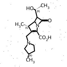 C[C@@H]1CCN(CC2=C(C(=O)O)N3C(=O)C([C@@H](C)O)C3[C@H]2C)C1